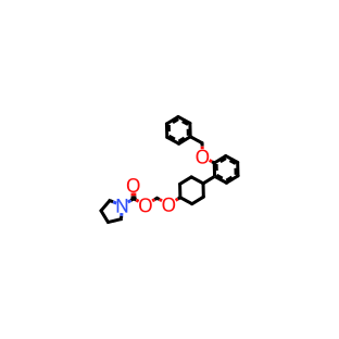 O=C(OCOC1CCC(c2ccccc2OCc2ccccc2)CC1)N1CCCC1